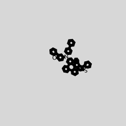 c1ccc(-c2ccc(N(c3ccc4c(c3)-c3ccccc3-c3ccccc3C43c4ccccc4-c4c3ccc3sc5ccccc5c43)c3ccc4oc5ccccc5c4c3)cc2)cc1